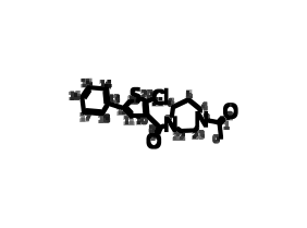 CC(=O)N1CCCN(C(=O)c2cc(-c3ccccc3)sc2Cl)CC1